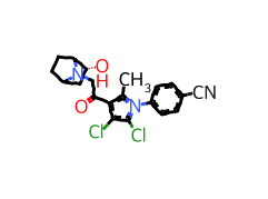 Cc1c(C(=O)CN2C3CCC2[C@H](O)C3)c(Cl)c(Cl)n1-c1ccc(C#N)cc1